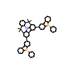 CC1(C)c2cccc3c2-n2c4c1cc(-c1ccc5c(c1)c1ccccc1p5-c1ccccc1)cc4c1cc(-c4ccc5c(c4)c4ccccc4p5-c4ccccc4)cc(c12)C3(C)C